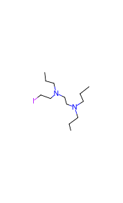 CCCN(CCC)CCN(CCC)CCI